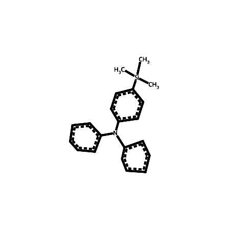 C[Si](C)(C)c1ccc(N(c2ccccc2)c2ccccc2)cc1